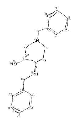 O[C@@H]1CN(Cc2ccccc2)CC[C@H]1NCc1ccccc1